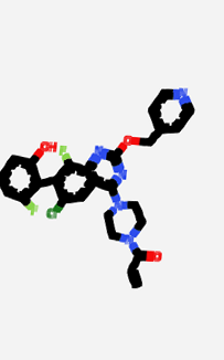 C=CC(=O)N1CCN(c2nc(OCc3ccncc3)nc3c(F)c(-c4c(O)cccc4F)c(Cl)cc23)CC1